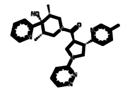 Cc1ccc([C@@H]2CN(c3cccnn3)C[C@H]2C(=O)N2C[C@@H](C)[C@](O)(c3ccccn3)[C@@H](C)C2)nc1